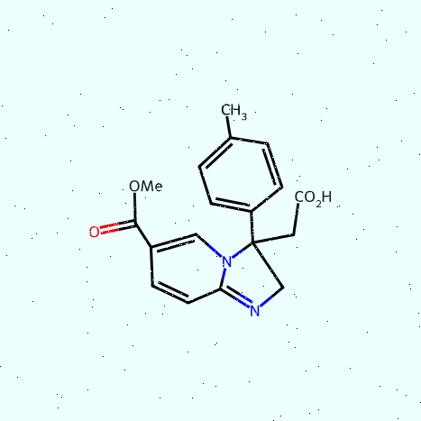 COC(=O)C1=CN2C(=NCC2(CC(=O)O)c2ccc(C)cc2)C=C1